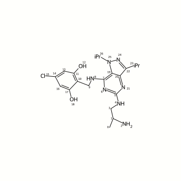 CC(N)CNc1nc(NCc2c(O)cc(Cl)cc2O)c2c(n1)c(C(C)C)nn2C(C)C